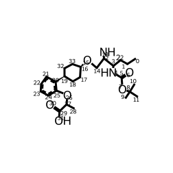 CCCC(NC(=O)OC(C)(C)C)C(N)CO[C@H]1CC[C@@H](c2ccccc2OC(C)C(=O)O)CC1